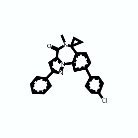 CN1C(=O)c2cc(-c3ccccc3)nn2-c2cc(-c3ccc(Cl)cc3)ccc2C12CC2